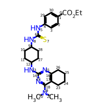 CCOC(=O)c1ccc(NC(=S)NC2CCC(Nc3nc4c(c(N(C)C)n3)CCCC4)CC2)cc1